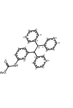 COC(=O)Nc1cccc(C(c2cccnc2)C(c2cccnc2)c2cccnc2)n1